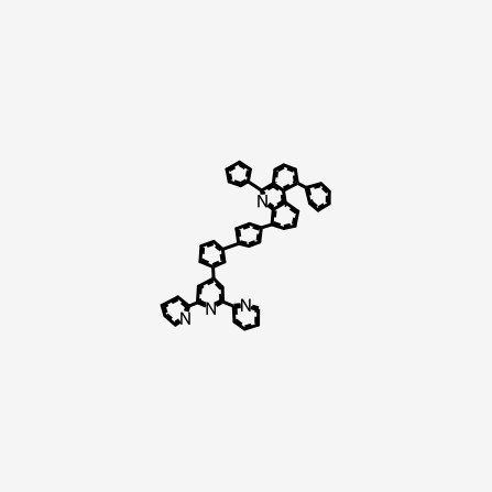 c1ccc(-c2nc3c(-c4ccc(-c5cccc(-c6cc(-c7ccccn7)nc(-c7ccccn7)c6)c5)cc4)cccc3c3c(-c4ccccc4)cccc23)cc1